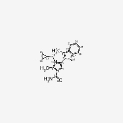 Cc1c(-c2cc(C(N)=O)c(C)n2CC2CC2)sc2ccccc12